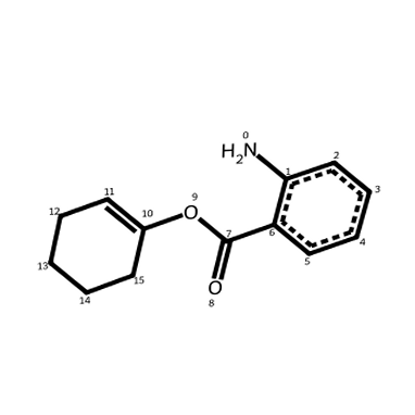 Nc1ccccc1C(=O)OC1=CCCCC1